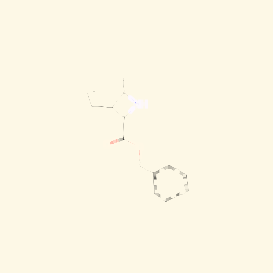 CC(C)(C)CC1C(C(=O)O)NC1C(=O)OCc1ccccc1